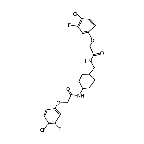 O=C(COc1ccc(Cl)c(F)c1)NCC1CCC(NC(=O)COc2ccc(Cl)c(F)c2)CC1